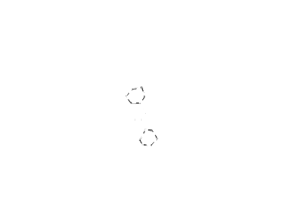 Fc1ccc(COc2c[c]ccc2)cc1